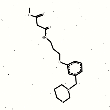 COC(=O)CC(=O)NCCCOc1cccc(CN2CCCCC2)c1